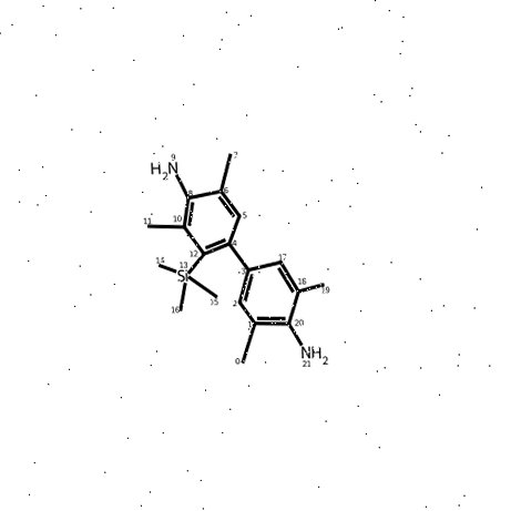 Cc1cc(-c2cc(C)c(N)c(C)c2[Si](C)(C)C)cc(C)c1N